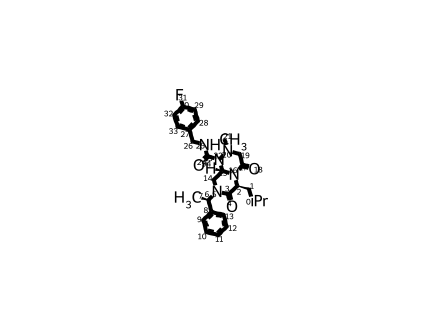 CC(C)C[C@H]1C(=O)N([C@H](C)c2ccccc2)C[C@H]2N1C(=O)CN(C)N2C(=O)NCc1ccc(F)cc1